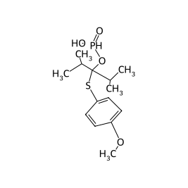 COc1ccc(SC(O[PH](=O)O)(C(C)C)C(C)C)cc1